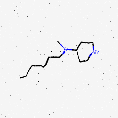 CCCCCCN(C)C1CCNCC1